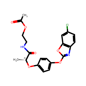 CC(=O)OCCNC(=O)[C@@H](C)Oc1ccc(Oc2nc3ccc(Cl)cc3o2)cc1